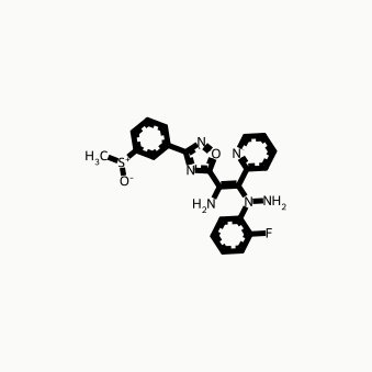 C[S+]([O-])c1cccc(-c2noc(/C(N)=C(\c3ccccn3)N(N)c3ccccc3F)n2)c1